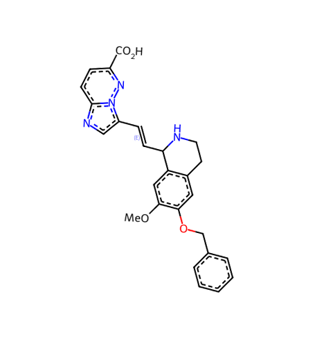 COc1cc2c(cc1OCc1ccccc1)CCNC2/C=C/c1cnc2ccc(C(=O)O)nn12